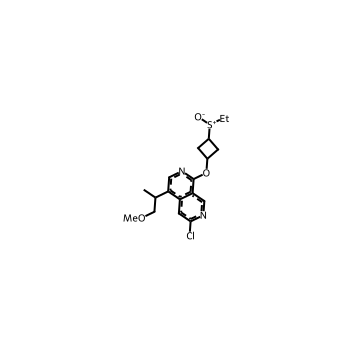 CC[S+]([O-])C1CC(Oc2ncc(C(C)COC)c3cc(Cl)ncc23)C1